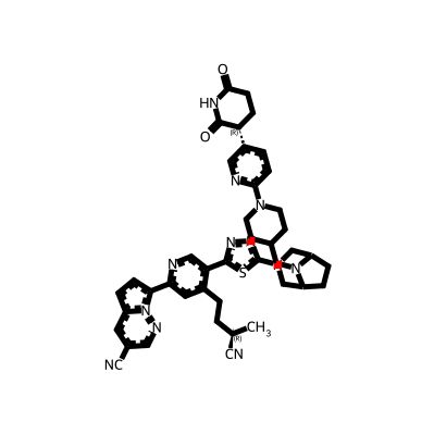 C[C@@H](C#N)CCc1cc(-c2ccc3cc(C#N)cnn23)ncc1-c1nnc(N2CC3CCC(C2)N3CC2CCN(c3ccc([C@H]4CCC(=O)NC4=O)cn3)CC2)s1